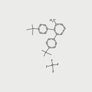 CC(C)(C)c1ccc(-c2cccc([SH2+])c2-c2ccc(C(C)(C)C)cc2)cc1.F[B-](F)(F)F